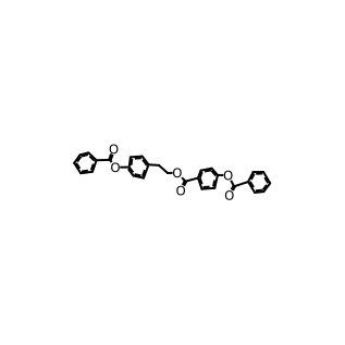 O=C(OCCc1ccc(OC(=O)c2ccccc2)cc1)c1ccc(OC(=O)c2ccccc2)cc1